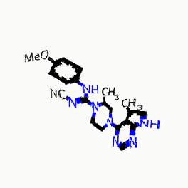 COc1ccc(N/C(=N\C#N)N2CCN(c3ncnc4[nH]cc(C)c34)C[C@@H]2C)cc1